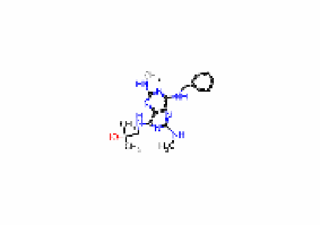 CNc1nc(NCC(C)(C)O)c2nc(NC)nc(NCc3ccccc3)c2n1